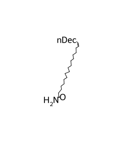 CCCCCCCCCC/C=C\CCCCCCCCCCCCCCCC(N)=O